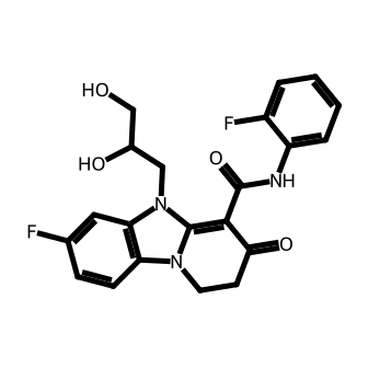 O=C1CCN2C(=C1C(=O)Nc1ccccc1F)N(CC(O)CO)c1cc(F)ccc12